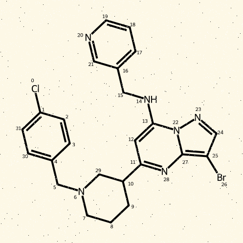 Clc1ccc(CN2CCCC(c3cc(NCc4cccnc4)n4ncc(Br)c4n3)C2)cc1